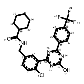 O=C(NCc1ccc(Cl)c(-c2nc(O)nc(-c3ccc(C(F)(F)F)cc3)n2)c1)C1CCCCC1